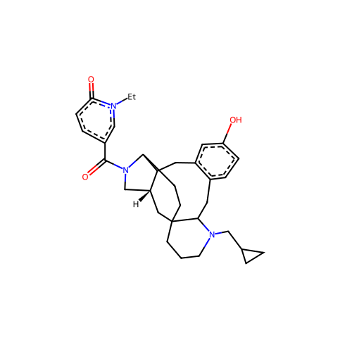 CCn1cc(C(=O)N2C[C@H]3CC45CCCN(CC6CC6)C4Cc4ccc(O)cc4CC3C2CC5)ccc1=O